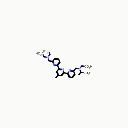 Cc1cc(-c2cccc(CN(CC(=O)O)CC(=O)O)n2)nc(-c2cccc(CN(CC(=O)O)C(C)C(=O)O)n2)c1